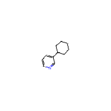 [c]1ccc(C2CC[CH]CC2)cn1